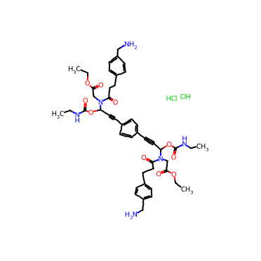 CCNC(=O)OC(C#Cc1ccc(C#CC(OC(=O)NCC)N(CC(=O)OCC)C(=O)CCc2ccc(CN)cc2)cc1)N(CC(=O)OCC)C(=O)CCc1ccc(CN)cc1.Cl.Cl